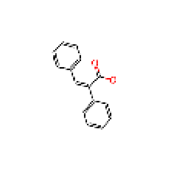 [O]C(=O)/C(=C\c1ccccc1)c1ccccc1